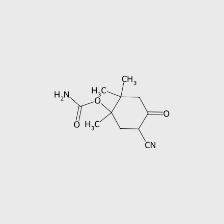 CC1(C)CC(=O)C(C#N)CC1(C)OC(N)=O